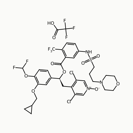 O=C(O)C(F)(F)F.O=C(O[C@@H](Cc1c(Cl)c[n+]([O-])cc1Cl)c1ccc(OC(F)F)c(OCC2CC2)c1)c1cc(NS(=O)(=O)CCCN2CCOCC2)ccc1C(F)(F)F